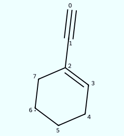 C#CC1=CCC[CH]C1